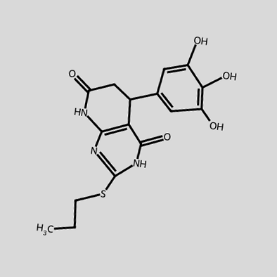 CCCSc1nc2c(c(=O)[nH]1)C(c1cc(O)c(O)c(O)c1)CC(=O)N2